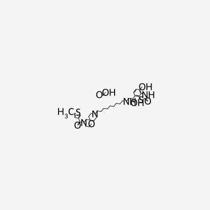 Cc1cc(C(=O)N2CCOC3(CCN(CCCCCCCCCNC[C@H](O)c4ccc(O)c5[nH]c(=O)sc45)CC3)C2)cs1.O=CO